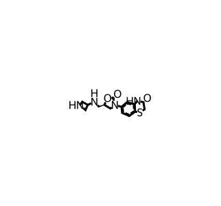 O=C1CSc2ccc(N3C[C@@H](CNC4CNC4)OC3=O)cc2N1